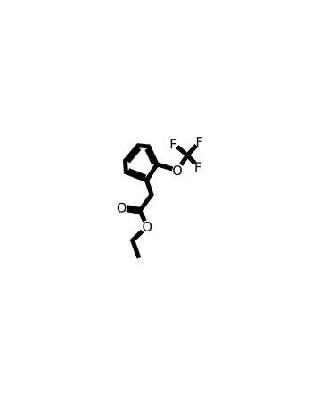 CCOC(=O)Cc1ccccc1OC(F)(F)F